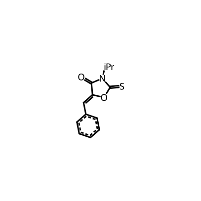 CC(C)N1C(=O)C(=Cc2ccccc2)OC1=S